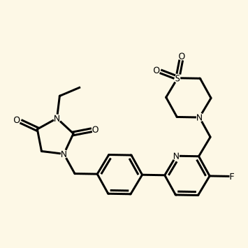 CCN1C(=O)CN(Cc2ccc(-c3ccc(F)c(CN4CCS(=O)(=O)CC4)n3)cc2)C1=O